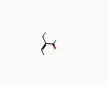 CC(C)C=C(CC(=O)O)C(=O)C(=O)O